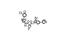 CC(=O)c1cn(CC(=O)N2C[C@H](F)C[C@H]2C(=O)Nc2nnc(-c3ccc(Cl)c(Cl)c3)s2)c2ccc(-c3ccnnc3)cc12